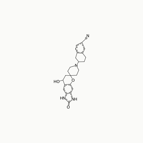 N#Cc1ccc2c(c1)CCC(N1CCC3(CC1)CC(O)c1cc4[nH]c(=O)[nH]c4cc1O3)C2